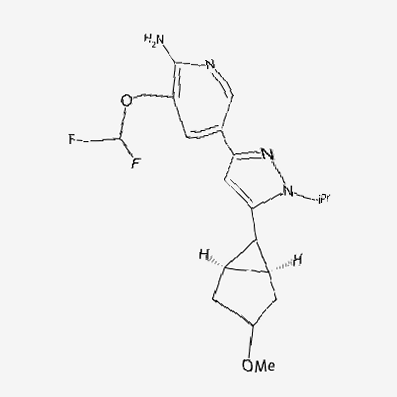 COC1C[C@@H]2C(c3cc(-c4cnc(N)c(OC(F)F)c4)nn3C(C)C)[C@@H]2C1